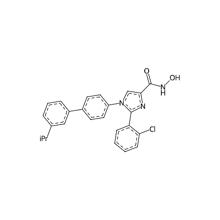 CC(C)c1cccc(-c2ccc(-n3cc(C(=O)NO)nc3-c3ccccc3Cl)cc2)c1